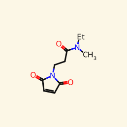 CCN(C)C(=O)CCN1C(=O)C=CC1=O